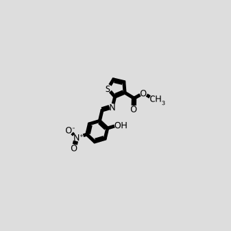 COC(=O)c1ccsc1/N=C/c1cc([N+](=O)[O-])ccc1O